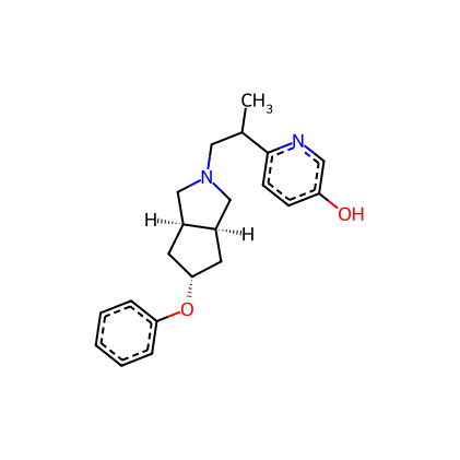 CC(CN1C[C@H]2C[C@H](Oc3ccccc3)C[C@H]2C1)c1ccc(O)cn1